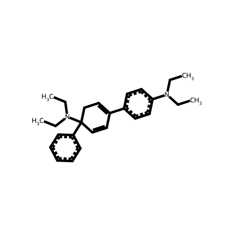 CCN(CC)c1ccc(C2=CCC(c3ccccc3)(N(CC)CC)C=C2)cc1